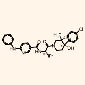 CC(C)[C@@H](NC(=O)c1ccc(Nc2ccccc2)nc1)C(=O)N1CC[C@](O)(c2ccc(Cl)cc2)C(C)(C)C1